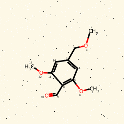 COCc1cc(OC)c(C=O)c(OC)c1